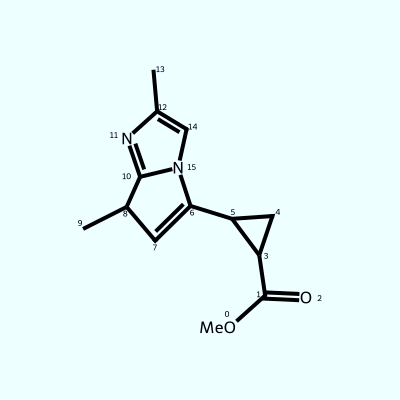 COC(=O)C1CC1C1=CC(C)c2nc(C)cn21